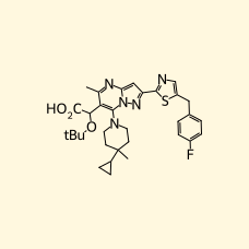 Cc1nc2cc(-c3ncc(Cc4ccc(F)cc4)s3)nn2c(N2CCC(C)(C3CC3)CC2)c1C(OC(C)(C)C)C(=O)O